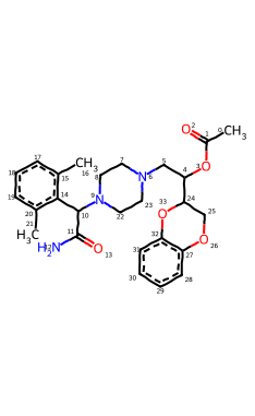 CC(=O)OC(CN1CCN(C(C(N)=O)c2c(C)cccc2C)CC1)C1COc2ccccc2O1